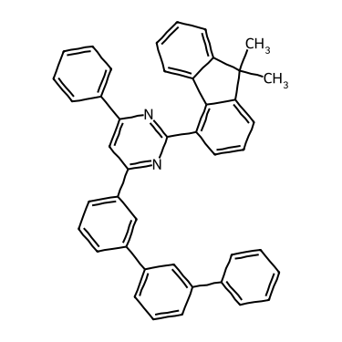 CC1(C)c2ccccc2-c2c(-c3nc(-c4ccccc4)cc(-c4cccc(-c5cccc(-c6ccccc6)c5)c4)n3)cccc21